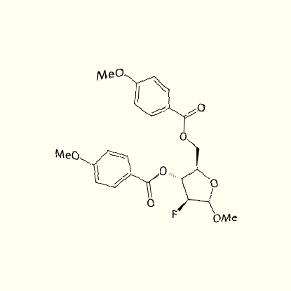 COc1ccc(C(=O)OC[C@H]2OC(OC)[C@@H](F)[C@@H]2OC(=O)c2ccc(OC)cc2)cc1